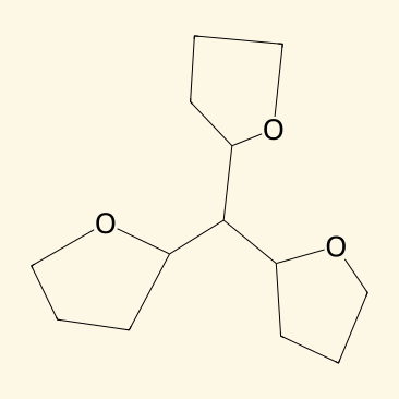 C1COC(C(C2CCCO2)C2CCCO2)C1